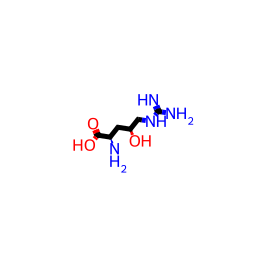 N=C(N)NC[C@@H](O)C[C@H](N)C(=O)O